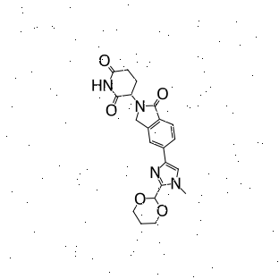 Cn1cc(-c2ccc3c(c2)CN(C2CCC(=O)NC2=O)C3=O)nc1C1OCCCO1